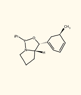 CC(C)P1O[C@H](C2=CC=C[C@H](C)C2)[C@@H]2CCCN21